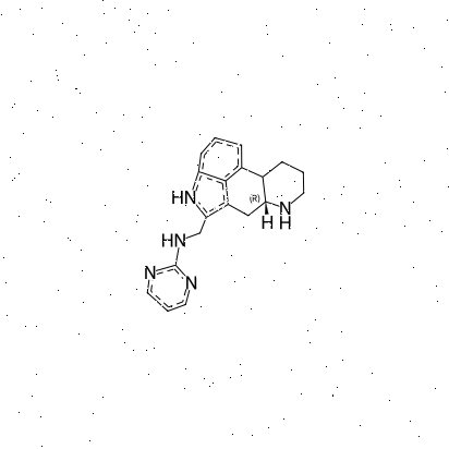 c1cnc(NCc2[nH]c3cccc4c3c2C[C@H]2NCCCC42)nc1